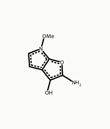 COn1ccc2c(O)c(N)oc21